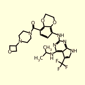 CC(C)Nc1nc(Nc2ccc(C(=O)N3CCN(C4COC4)CC3)c3c2OCCO3)nc2[nH]cc(C(F)(F)F)c12